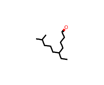 CCC(CCCC=O)CCCC(C)C